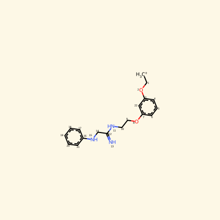 CCOc1cccc(OCCNC(=N)CNc2ccccc2)c1